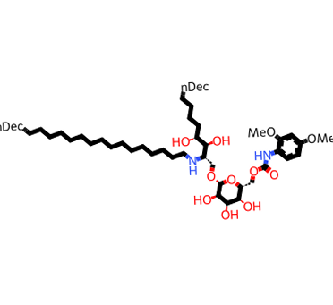 CCCCCCCCCCCCCCCCCCCCCCCCCCN[C@@H](CO[C@@H]1O[C@H](COC(=O)Nc2ccc(OC)cc2OC)[C@H](O)[C@H](O)[C@H]1O)[C@H](O)[C@H](O)CCCCCCCCCCCCCC